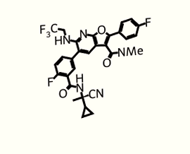 CNC(=O)c1c(-c2ccc(F)cc2)oc2nc(NCC(F)(F)F)c(-c3ccc(F)c(C(=O)N[C@](C)(C#N)C4CC4)c3)cc12